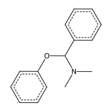 CN(C)C(Oc1cc[c]cc1)c1ccccc1